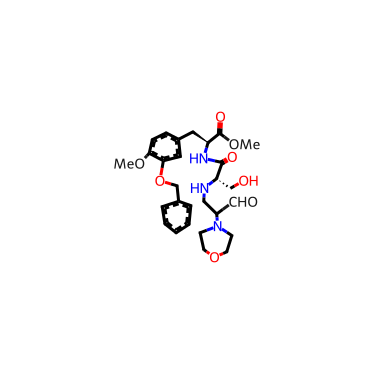 COC(=O)[C@H](Cc1ccc(OC)c(OCc2ccccc2)c1)NC(=O)[C@H](CO)NCC(C=O)N1CCOCC1